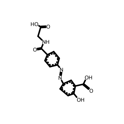 O=C(O)CNC(=O)c1ccc(/N=N/c2ccc(O)c(C(=O)O)c2)cc1